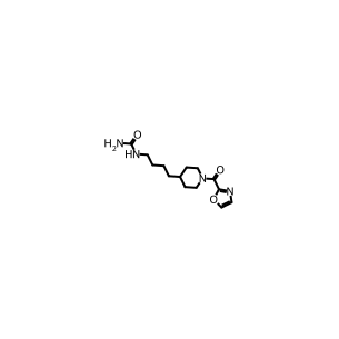 NC(=O)NCCCCC1CCN(C(=O)c2ncco2)CC1